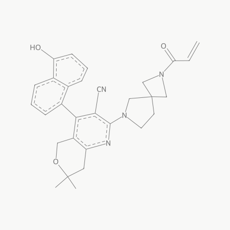 C=CC(=O)N1CC2(CCN(c3nc4c(c(-c5cccc6c(O)cccc56)c3C#N)COC(C)(C)C4)C2)C1